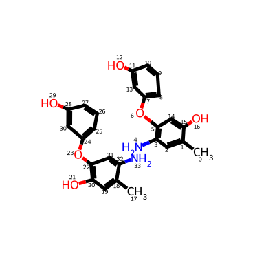 Cc1cc(N)c(Oc2cccc(O)c2)cc1O.Cc1cc(O)c(Oc2cccc(O)c2)cc1N